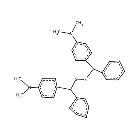 CN(C)c1ccc(C(SSC(c2ccccc2)c2ccc(N(C)C)cc2)c2ccccc2)cc1